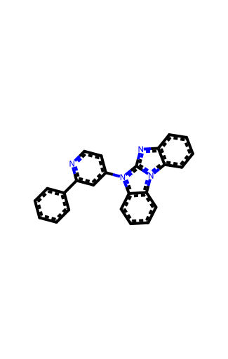 c1ccc(-c2cc(-n3c4ccccc4n4c5ccccc5nc34)ccn2)cc1